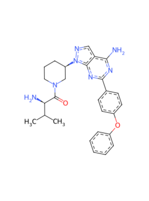 CC(C)[C@@H](N)C(=O)N1CCC[C@@H](n2ncc3c(N)nc(-c4ccc(Oc5ccccc5)cc4)nc32)C1